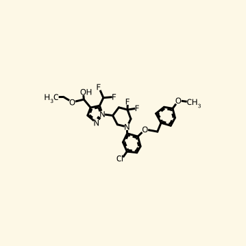 CCOC(O)c1cnn(C2CN(c3cc(Cl)ccc3OCc3ccc(OC)cc3)CC(F)(F)C2)c1C(F)F